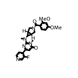 COc1ccc(C(=O)N2C[C@@H]3C(N(C)c4nc(-c5ccncc5F)cc(=O)n4C)[C@@H]3C2)c(OC)c1